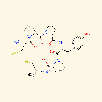 N[C@@H](CS)C(=O)N1CCC[C@H]1C(=O)N1CCC[C@H]1C(=O)N[C@@H](Cc1ccc(O)cc1)C(=O)N1CCC[C@H]1C(=O)N[C@@H](CS)C(=O)O